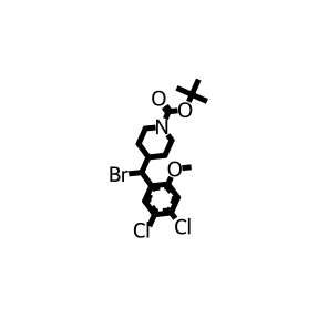 COc1cc(Cl)c(Cl)cc1C(Br)C1CCN(C(=O)OC(C)(C)C)CC1